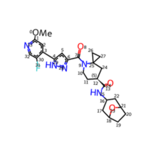 COc1cc(-c2cc(C(=O)N3CC[C@H](C(=O)NC4CC5CCC(C4)O5)CC34CC4)n[nH]2)c(F)cn1